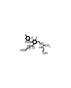 CC(NCCO)ON=Cc1cc(C(=O)NOCCO)c(Nc2ccc(I)cc2F)c(F)c1F